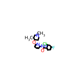 C[C@H]1CN(C)CC[C@H]1Oc1cccc(NC(=O)C2=CC=C(F)CC2Cl)n1